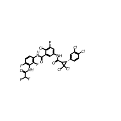 O=C(Nc1ccc(F)c(NC(=O)C(F)F)c1F)c1cc(NC(=O)C2[C@H](c3ccc(Cl)c(Cl)c3)C2(Cl)Cl)cc(F)c1Cl